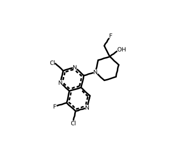 OC1(CF)CCCN(c2nc(Cl)nc3c(F)c(Cl)ncc23)C1